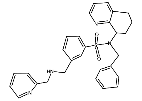 O=S(=O)(c1cccc(CNCc2ccccn2)c1)N(Cc1ccccc1)C1CCCc2cccnc21